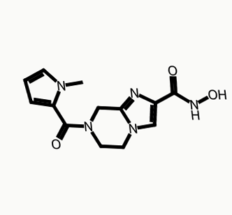 Cn1cccc1C(=O)N1CCn2cc(C(=O)NO)nc2C1